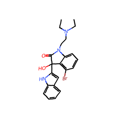 CCN(CC)CCN1C(=O)C(O)(c2cc3ccccc3[nH]2)c2c(Br)cccc21